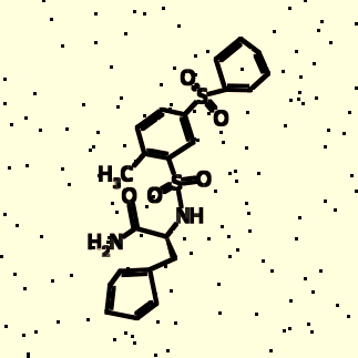 Cc1ccc(S(=O)(=O)c2ccccc2)cc1S(=O)(=O)N[C@@H](Cc1ccccc1)C(N)=O